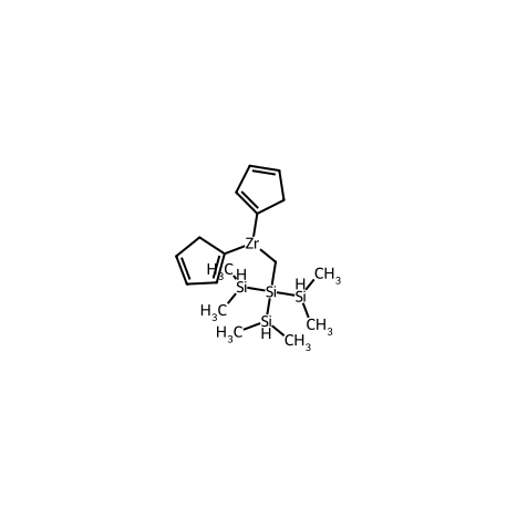 C[SiH](C)[Si]([CH2][Zr]([C]1=CC=CC1)[C]1=CC=CC1)([SiH](C)C)[SiH](C)C